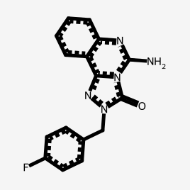 Nc1nc2ccccc2c2nn(Cc3ccc(F)cc3)c(=O)n12